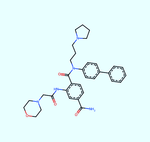 NC(=O)c1ccc(C(=O)N(CCCN2CCCC2)c2ccc(-c3ccccc3)cc2)c(NC(=O)CN2CCOCC2)c1